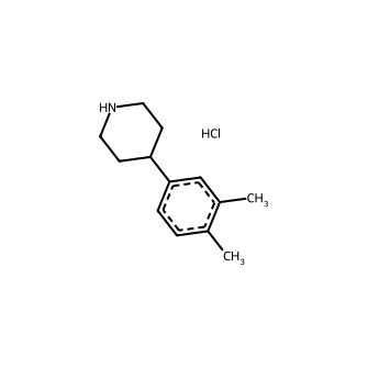 Cc1ccc(C2CCNCC2)cc1C.Cl